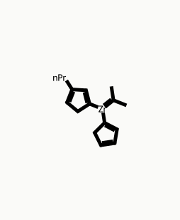 CCCC1=CC[C]([Zr]([C]2=CC=CC2)=[C](C)C)=C1